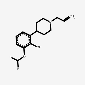 C=CCN1CCC(c2cccc(OC(F)F)c2O)CC1